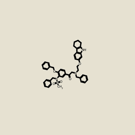 CS(=O)(=O)N(Cc1ccccc1)c1cc(C(=O)CN(CCOc2ccc3c4c([nH]c3c2)CCCC4)Cc2ccccc2)ccc1OCc1ccccc1